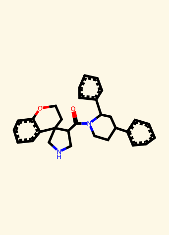 O=C(C1CNCC12CCOc1ccccc12)N1CCC(c2ccccc2)CC1c1ccccc1